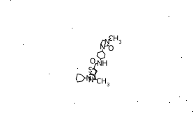 Cc1nn(C2CCCCC2)c2sc(C(=O)NC3CCC(N4CCN(C)C4=O)CC3)cc12